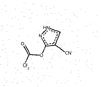 N#Cc1c[nH]nc1OC(=O)C(F)(F)F